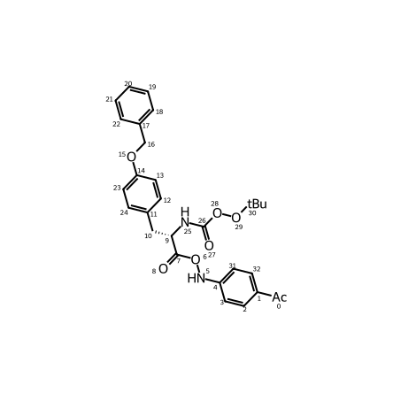 CC(=O)c1ccc(NOC(=O)[C@H](Cc2ccc(OCc3ccccc3)cc2)NC(=O)OOC(C)(C)C)cc1